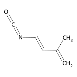 C=C(C)C=CN=C=O